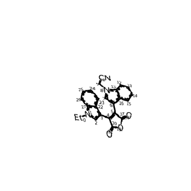 CCn1cc(C2=C(c3cn(CC#N)c4ccccc34)C(=O)OC2=O)c2ccccc21